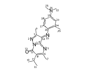 CC1=Nn2c(nc(C)c(C(C)C)c2=O)C1=Nc1ccc(N(C)C)cc1C